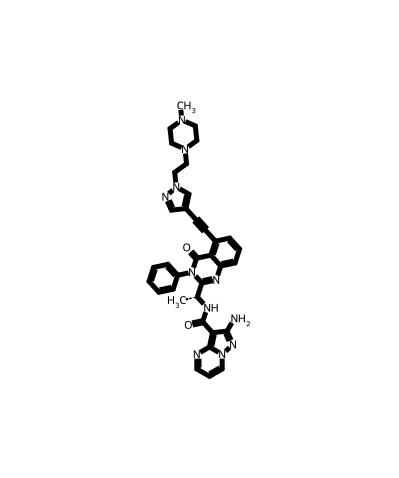 C[C@@H](NC(=O)c1c(N)nn2cccnc12)c1nc2cccc(C#Cc3cnn(CCN4CCN(C)CC4)c3)c2c(=O)n1-c1ccccc1